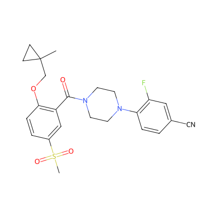 CC1(COc2ccc(S(C)(=O)=O)cc2C(=O)N2CCN(c3ccc(C#N)cc3F)CC2)CC1